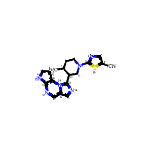 CC1CCN(c2ncc(C#N)s2)CC1c1ncc2cnc3[nH]ccc3n12